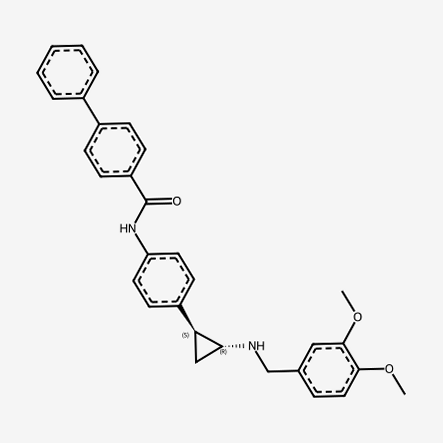 COc1ccc(CN[C@@H]2C[C@H]2c2ccc(NC(=O)c3ccc(-c4ccccc4)cc3)cc2)cc1OC